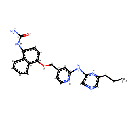 CCCc1cncc(Nc2cc(COc3ccc(NC(N)=O)c4ccccc34)ccn2)n1